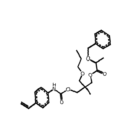 C=Cc1ccc(NC(=O)OCC(C)(COCCC)COC(=O)C(C)OCc2ccccc2)cc1